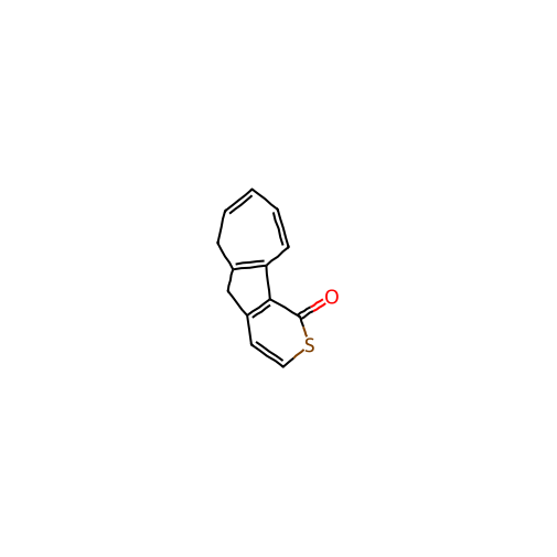 O=c1sccc2c1C1=C(CC=CC=C1)C2